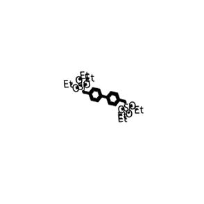 CCO[Si](Cc1ccc(-c2ccc(C[Si](OCC)(OCC)OCC)cc2)cc1)(OCC)OCC